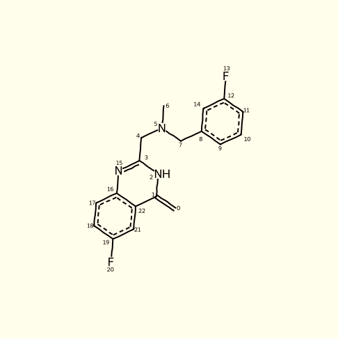 C=C1NC(CN(C)Cc2cccc(F)c2)=Nc2ccc(F)cc21